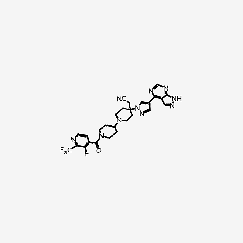 N#CCC1(n2cc(-c3ncnc4[nH]ncc34)cn2)CCN(C2CCN(C(=O)c3ccnc(C(F)(F)F)c3F)CC2)CC1